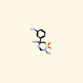 CN1C=NC(C)(c2cccc(N)c2)CS1(=O)=O